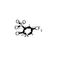 O=S(=O)(Cl)c1cc(C(F)(F)F)cnc1Cl